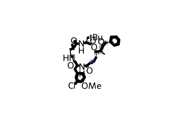 COc1ccc(CC2NC(=O)/C=C/C[C@@H]([C@H](C)[C@H]3O[C@@H]3c3ccccc3)OC(=O)[C@H](CC(C)(C)C)NC(=O)C(C)(C)CNC2=O)cc1Cl